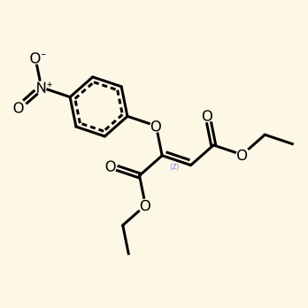 CCOC(=O)/C=C(\Oc1ccc([N+](=O)[O-])cc1)C(=O)OCC